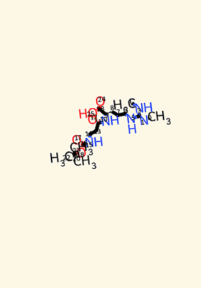 C/N=C(\NC)NCCC[C@H](NC(=O)CCNC(=O)OC(C)(C)C)C(=O)O